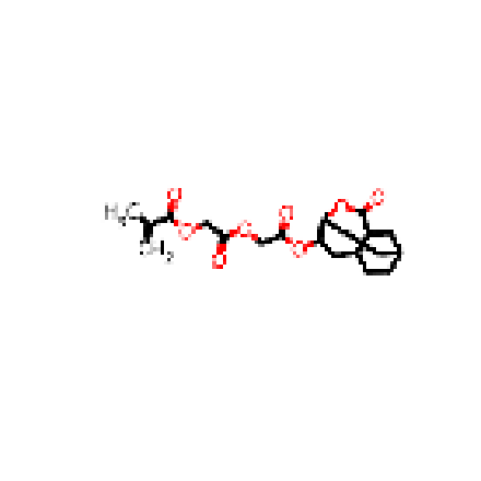 C=C(C)C(=O)OCC(=O)OCC(=O)OC1CC2CCC3CC1OC(=O)C2C3